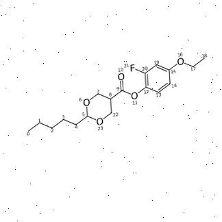 CCCCCC1OCC(C(=O)Oc2ccc(OCC)cc2F)CO1